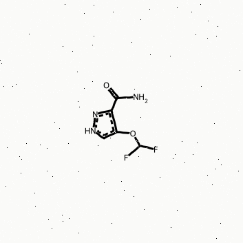 NC(=O)c1n[nH]cc1OC(F)F